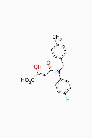 Cc1ccc(CN(C(=O)/C=C(\O)C(=O)O)c2ccc(F)cc2)cc1